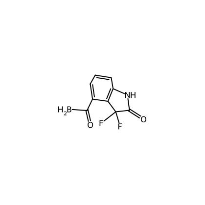 BC(=O)c1cccc2c1C(F)(F)C(=O)N2